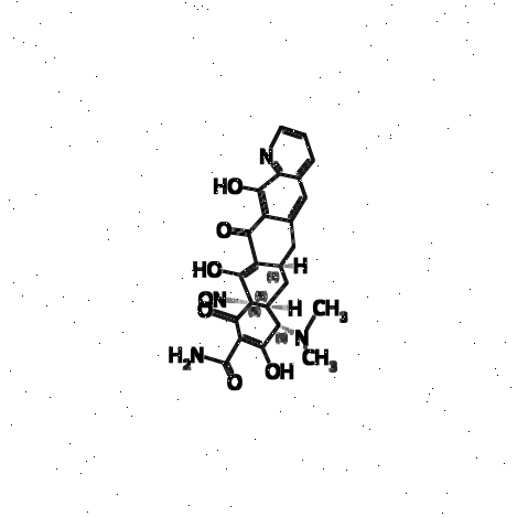 CN(C)[C@@H]1C(O)=C(C(N)=O)C(=O)[C@@]2(N=O)C(O)=C3C(=O)c4c(cc5cccnc5c4O)C[C@H]3C[C@@H]12